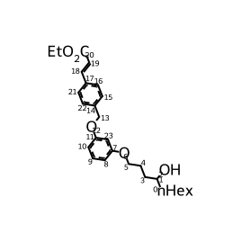 CCCCCCC(O)CCCOc1cccc(OCc2ccc(C=CC(=O)OCC)cc2)c1